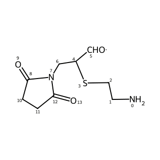 NCCSC([C]=O)CN1C(=O)CCC1=O